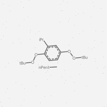 CC(C)c1cc(OOC(C)(C)C)ccc1OOC(C)(C)C.CCCCCC